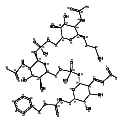 CC(=O)N=NC1C(O)[C@H](O)C(CNC(=O)OCc2ccccc2)O[C@@H]1OP(=O)(O)OCC1O[C@H](OP(=O)(O)OCC2O[C@H](OCCO)C(NC(C)=O)C(O)[C@@H]2O)C(NC(C)=O)C(O)[C@@H]1O